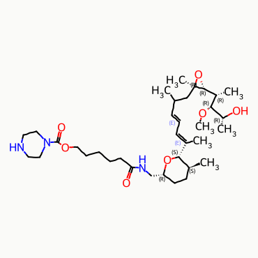 CO[C@H]([C@@H](C)[C@H]1O[C@]1(C)CC(C)/C=C/C=C(\C)[C@H]1O[C@@H](CNC(=O)CCCCCOC(=O)N2CCNCC2)CC[C@@H]1C)[C@@H](C)O